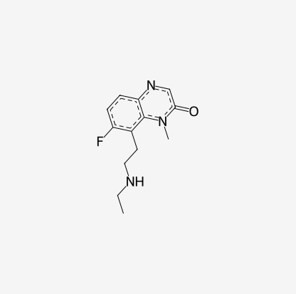 CCNCCc1c(F)ccc2ncc(=O)n(C)c12